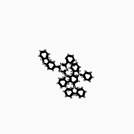 c1ccc(-c2nc(-c3ccc4sc5ccccc5c4c3)nc(-n3c4ccccc4c4c(-n5c6ccccc6c6ccccc65)cc5c(c6ccccc6n5-c5ccccc5)c43)n2)cc1